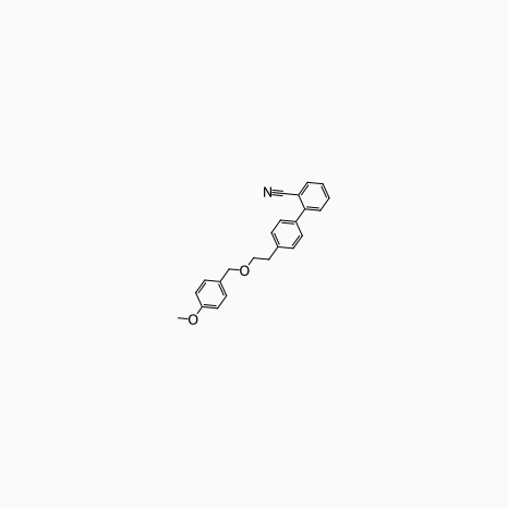 COc1ccc(COCCc2ccc(-c3ccccc3C#N)cc2)cc1